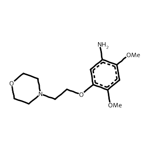 COc1cc(OC)c(OCCN2CCOCC2)cc1N